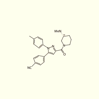 CN[C@@H]1CCCN(C(=O)c2cc(-c3ccc(C#N)cc3)n(-c3ccc(C)cc3)n2)C1